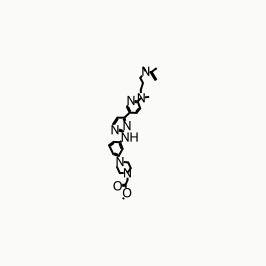 C=C(C)N(C)CCCN(C)c1ccc(-c2ccnc(Nc3cccc(N4CCN(CC(=O)OC)CC4)c3)n2)cn1